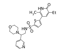 CCc1cc(-c2ccc(S(=O)(=O)NCC(c3cccnc3)N3CCOCC3)s2)c(C)[nH]c1=O